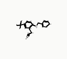 CC(C)(C)c1ccc(OCc2ccccc2)c(CC#N)c1